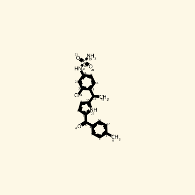 Cc1ccc(C(=O)c2ccc(C(C)c3ccc(NS(N)(=O)=O)cc3Cl)[nH]2)cc1